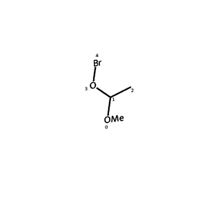 COC(C)OBr